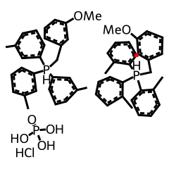 COc1cccc(C[PH](c2cccc(C)c2)(c2cccc(C)c2)c2cccc(C)c2)c1.COc1cccc(C[PH](c2ccccc2C)(c2ccccc2C)c2ccccc2C)c1.Cl.O=P(O)(O)O